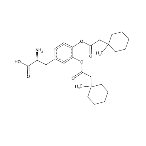 CC1(CC(=O)Oc2ccc(C[C@H](N)C(=O)O)cc2OC(=O)CC2(C)CCCCC2)CCCCC1